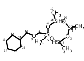 C[SiH]1O[SiH](C)O[Si](C)(COCC2CCCCC2)O[SiH](C)O1